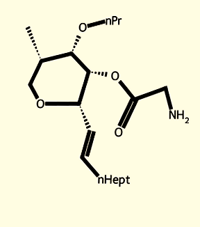 CCCCCCC/C=C/[C@@H]1OC[C@H](C)[C@H](OCCC)[C@@H]1OC(=O)CN